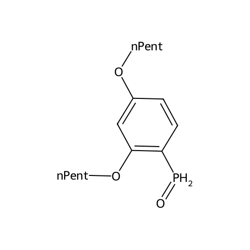 CCCCCOc1ccc([PH2]=O)c(OCCCCC)c1